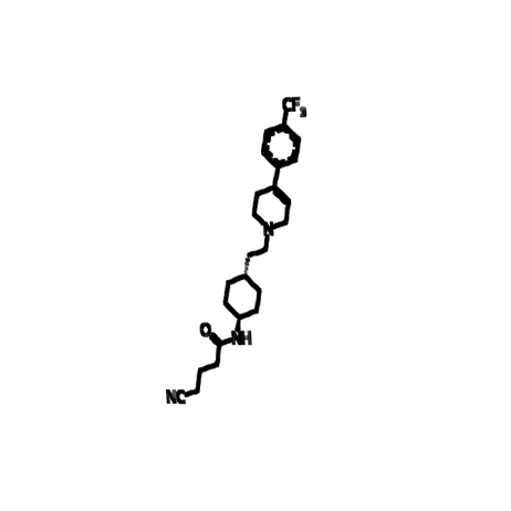 N#CCCCC(=O)N[C@H]1CC[C@H](CCN2CC=C(c3ccc(C(F)(F)F)cc3)CC2)CC1